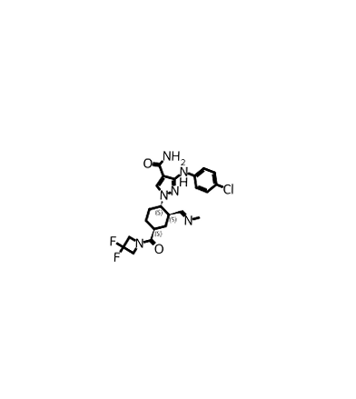 CN=C[C@H]1C[C@@H](C(=O)N2CC(F)(F)C2)CC[C@@H]1n1cc(C(N)=O)c(Nc2ccc(Cl)cc2)n1